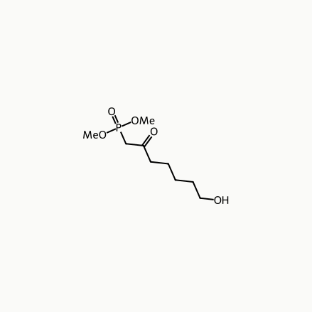 COP(=O)(CC(=O)CCCCCO)OC